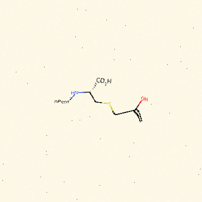 C=C(O)CSC[C@H](NCCCCC)C(=O)O